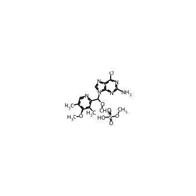 COS(=O)(=O)O.COc1c(C)cnc(C(OC)n2cnc3c(Cl)nc(N)nc32)c1C